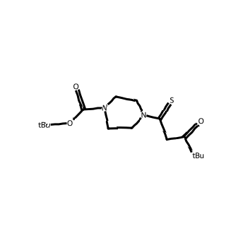 CC(C)(C)OC(=O)N1CCN(C(=S)CC(=O)C(C)(C)C)CC1